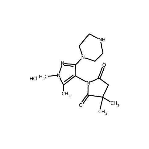 Cc1c(N2C(=O)CC(C)(C)C2=O)c(N2CCNCC2)nn1C.Cl